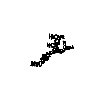 CCC(O)COCC(O)COC(COCC(O)CO)COc1ccc(S(=O)(=O)c2ccc(OC)cc2)cc1